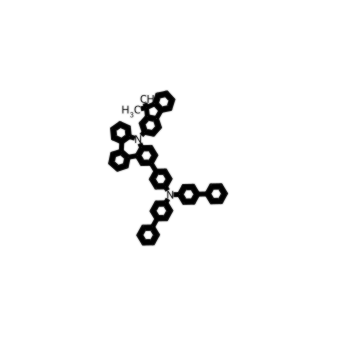 CC1(C)c2ccccc2-c2ccc(N3c4ccccc4-c4ccccc4-c4cc(-c5ccc(N(c6ccc(-c7ccccc7)cc6)c6ccc(-c7ccccc7)cc6)cc5)ccc43)cc21